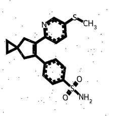 CSc1ccc(C2=C(c3ccc(S(N)(=O)=O)cc3)CC3(CC3)C2)nc1